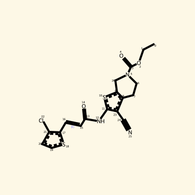 CCOC(=O)N1CCc2c(sc(NC(=O)/C=C/c3sccc3Cl)c2C#N)C1